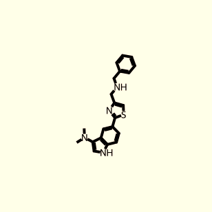 CN(C)c1c[nH]c2ccc(-c3nc(CNCc4ccccc4)cs3)cc12